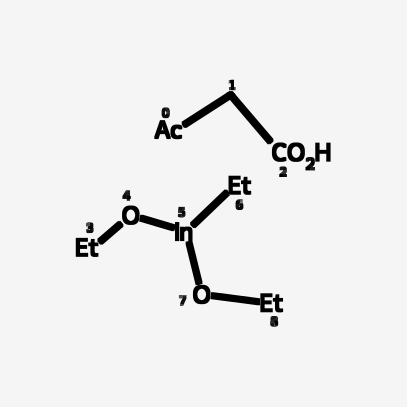 CC(=O)CC(=O)O.CC[O][In]([CH2]C)[O]CC